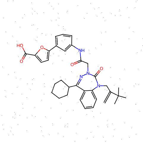 C=C(CN1C(=O)N(CC(=O)Nc2cccc(-c3ccc(C(=O)O)o3)c2)N=C(C2CCCCC2)c2ccccc21)C(C)(C)C